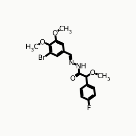 COc1cc(/C=N/NC(=O)C(OC)c2ccc(F)cc2)cc(Br)c1OC